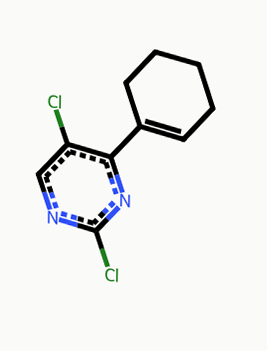 Clc1ncc(Cl)c(C2=CCCCC2)n1